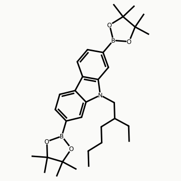 CCCCC(CC)Cn1c2cc(B3OC(C)(C)C(C)(C)O3)ccc2c2ccc(B3OC(C)(C)C(C)(C)O3)cc21